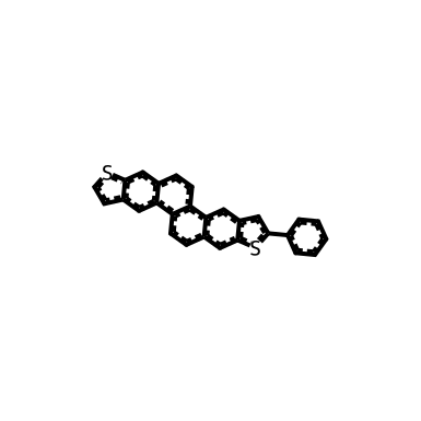 c1ccc(-c2cc3cc4c(ccc5c6cc7ccsc7cc6ccc45)cc3s2)cc1